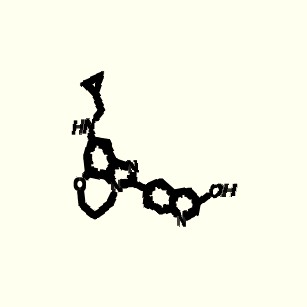 Oc1cnc2ccc(-c3nc4cc(NCC5CC5)cc5c4n3CCCO5)cc2c1